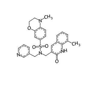 Cc1cccc2cc(CN(Cc3cccnc3)S(=O)(=O)c3ccc4c(c3)OCCN4C)c(=O)[nH]c12